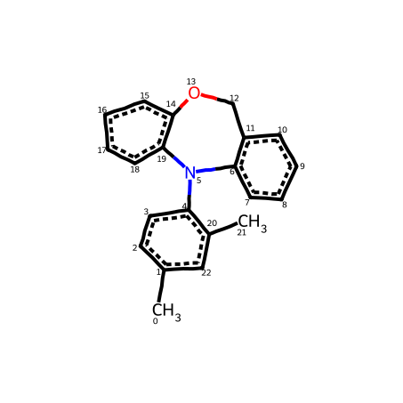 Cc1ccc(N2c3ccccc3COc3ccccc32)c(C)c1